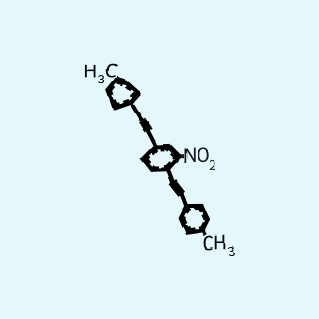 Cc1ccc(C#Cc2ccc(C#Cc3ccc(C)cc3)c([N+](=O)[O-])c2)cc1